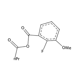 CCCC(=O)OC(=O)c1cccc(OC)c1F